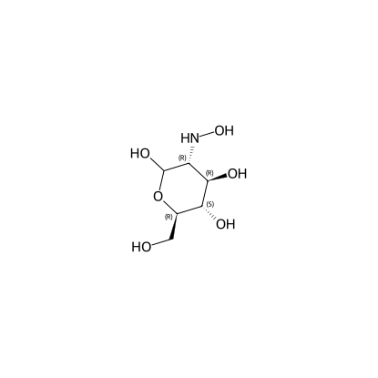 OC[C@H]1OC(O)[C@H](NO)[C@@H](O)[C@@H]1O